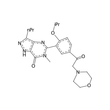 CCCc1n[nH]c2c(=O)n(C)c(-c3cc(C(=O)CN4CCOCC4)ccc3OC(C)C)nc12